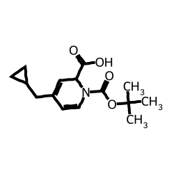 CC(C)(C)OC(=O)N1C=CC(CC2CC2)=CC1C(=O)O